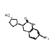 Nc1ccc2c(c1)NC(=O)C(N1CC[C@H](O)C1)C2